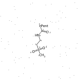 CCCCCC(=O)NCCS(C)(=O)=O